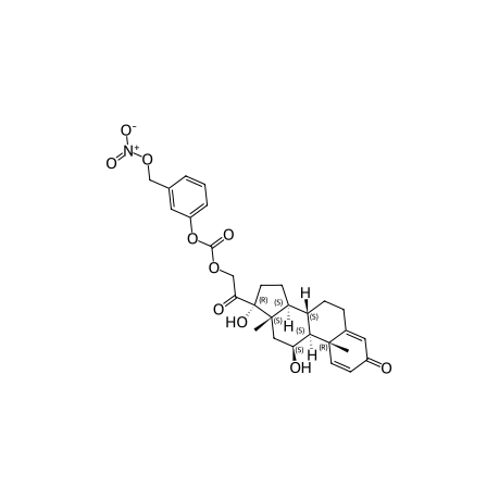 C[C@]12C=CC(=O)C=C1CC[C@@H]1[C@@H]2[C@@H](O)C[C@@]2(C)[C@H]1CC[C@]2(O)C(=O)COC(=O)Oc1cccc(CO[N+](=O)[O-])c1